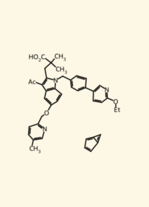 CCOc1ccc(-c2ccc(Cn3c(CC(C)(C)C(=O)O)c(C(C)=O)c4cc(OCc5ccc(C)cn5)ccc43)cc2)cn1.c1cc2cc-2c1